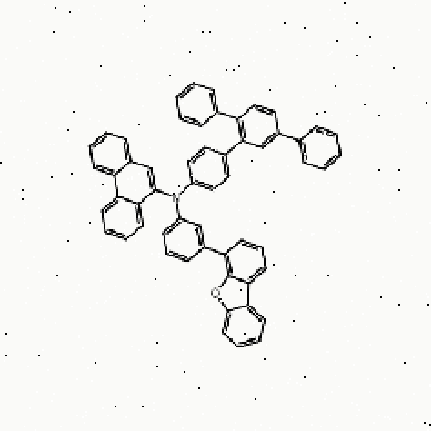 c1ccc(-c2ccc(-c3ccccc3)c(-c3ccc(N(c4cccc(-c5cccc6c5oc5ccccc56)c4)c4cc5ccccc5c5ccccc45)cc3)c2)cc1